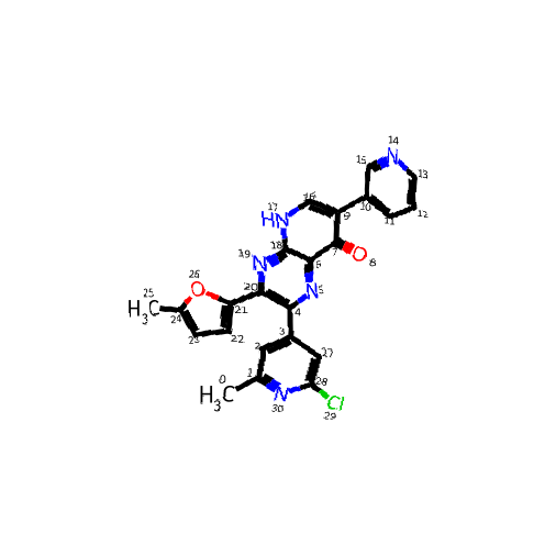 Cc1cc(-c2nc3c(=O)c(-c4cccnc4)c[nH]c3nc2-c2ccc(C)o2)cc(Cl)n1